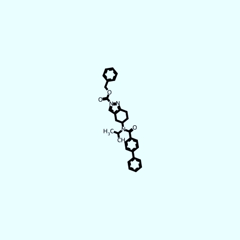 CC(C)N(C(=O)c1ccc(-c2ccccc2)cc1)C1CCc2nn(C(=O)OCc3ccccc3)cc2C1